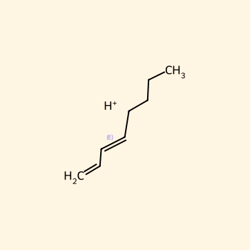 C=C/C=C/CCCC.[H+]